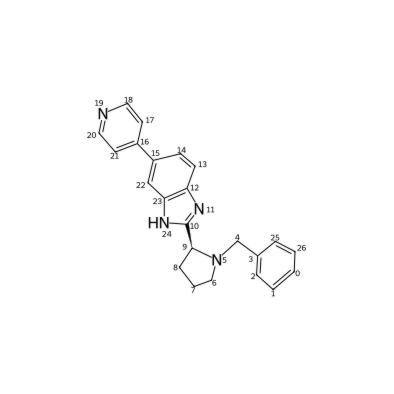 c1ccc(CN2CCC[C@H]2c2nc3ccc(-c4ccncc4)cc3[nH]2)cc1